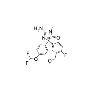 COCc1cc([C@@]2(c3ccc(OC(F)F)cc3)N=C(N)N(C)C2=O)ccc1F